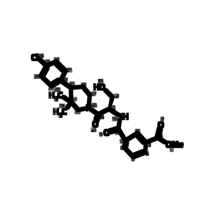 COC(=O)c1cccc(C(=O)N[C@H](CO)C(=O)N2CCC(c3ccc(Cl)cc3)C(C)(C)C2)c1